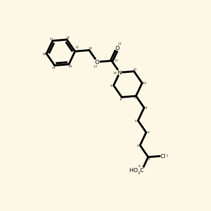 O=C(O)C(Cl)CCCCC1CCN(C(=O)OCc2ccccc2)CC1